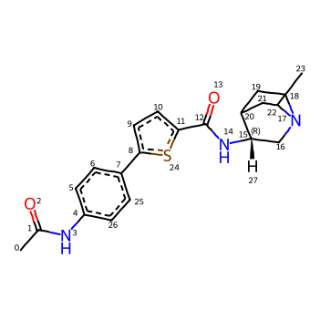 CC(=O)Nc1ccc(-c2ccc(C(=O)N[C@H]3CN4CCC3CC4C)s2)cc1